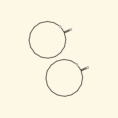 O=C1CCCCCCCCCCCCCCO1.O=C1CCCCCCCCCCCCCCO1